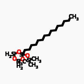 CCCCCCCCCCCCCCC[Si]1(O[Si](C)(C)C)O[SiH2]O[SiH2]O1